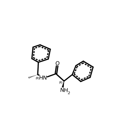 C[C@@H](NC(=O)[C@H](N)c1ccccc1)c1ccccc1